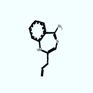 C=CCC1=CN=C(N)c2ccccc2N1